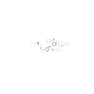 COC(=O)C=Cc1cc(-c2cc3cc(C(=O)N4CCN(C(=O)OC(C)(C)C)CC4)ccc3n2C(=O)OC(C)(C)C)c2c(c1N)C(=O)NC2=O